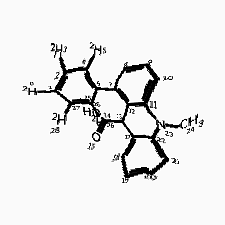 [2H]c1c([2H])c([2H])c(-c2cccc3c2C(C(=O)O)c2ccccc2N3C)c([2H])c1[2H]